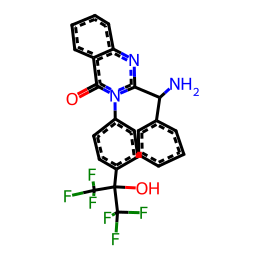 NC(c1ccccc1)c1nc2ccccc2c(=O)n1-c1ccc(C(O)(C(F)(F)F)C(F)(F)F)cc1